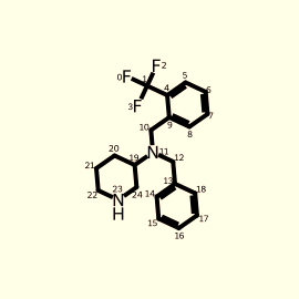 FC(F)(F)c1ccccc1CN(Cc1ccccc1)C1CCCNC1